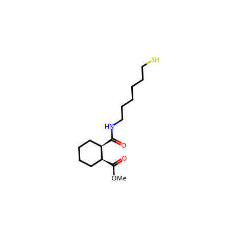 COC(=O)[C@H]1CCCC[C@H]1C(=O)NCCCCCCS